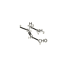 CN=NC=O.NN